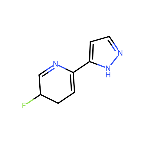 FC1C=NC(c2ccn[nH]2)=CC1